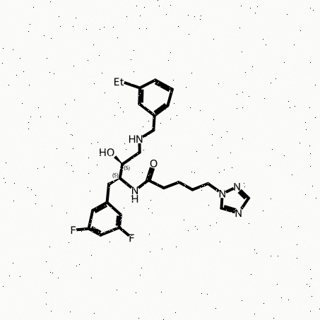 CCc1cccc(CNC[C@H](O)[C@H](Cc2cc(F)cc(F)c2)NC(=O)CCCCn2cncn2)c1